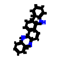 c1ccc2nc3c(ccc4c3ccc3c5ccccc5[nH]c34)nc2c1